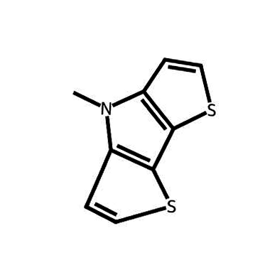 Cn1c2ccsc2c2sccc21